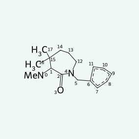 CNC1C(=O)N(Cc2ccccc2)CCCC1(C)C